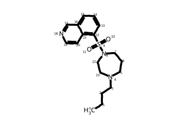 CCCCN1CCCN(S(=O)(=O)c2cccc3cnccc23)CC1